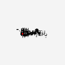 CC(C)(C)OC(=O)N1CCC[C@H]1c1ncc(-c2ccc(-c3ccc(-c4cnc([C@@H]5CCCN5C(=O)OC(C)(C)C)[nH]4)c4c3OCCO4)cc2)[nH]1